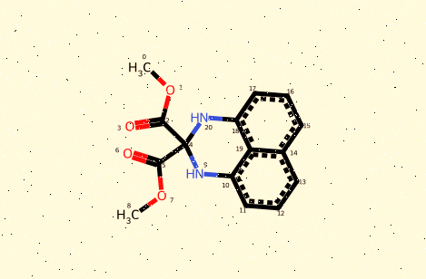 COC(=O)C1(C(=O)OC)Nc2cccc3cccc(c23)N1